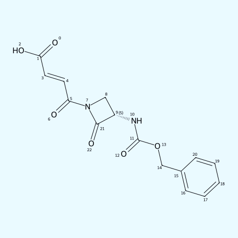 O=C(O)C=CC(=O)N1C[C@H](NC(=O)OCc2ccccc2)C1=O